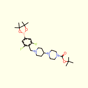 CC(C)(C)OC(=O)N1CCN(C2CCN(Cc3c(F)cc(B4OC(C)(C)C(C)(C)O4)cc3F)CC2)CC1